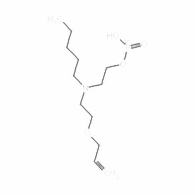 C=CCOCCN(CCCCC)CCO[PH](=O)O